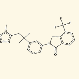 Cn1cnnc1CC(C)(C)c1cccc(N2Cc3c(cccc3C(F)(F)F)C2=O)c1